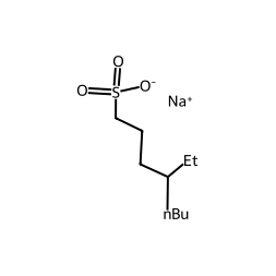 CCCCC(CC)CCCS(=O)(=O)[O-].[Na+]